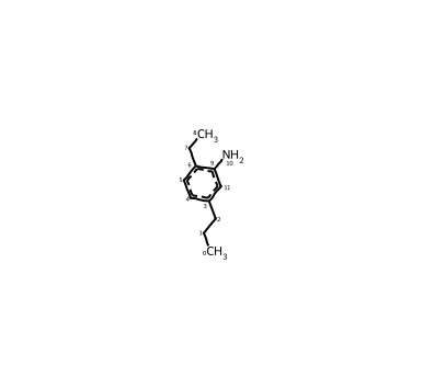 CCCc1ccc(CC)c(N)c1